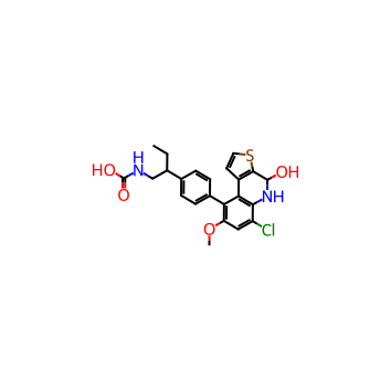 CCC(CNC(=O)O)c1ccc(-c2c(OC)cc(Cl)c3c2-c2ccsc2C(O)N3)cc1